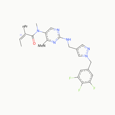 C/C=C(/CCC)C(=O)N(C)c1cnc(NCc2cnn(Cc3cc(F)c(F)c(F)c3)c2)nc1NC